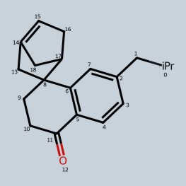 CC(C)Cc1ccc2c(c1)C1(CCC2=O)CC2=CCC1C2